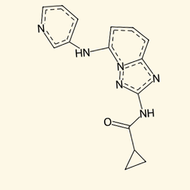 O=C(Nc1nc2cccc(Nc3cccnc3)n2n1)C1CC1